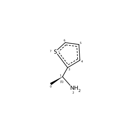 C[C@H](N)c1cccs1